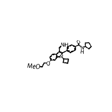 COCCOc1ccc2c(C=N)c(-c3ccc(C(=O)NC4CCCC4)cc3)n(C3CCC3)c2c1